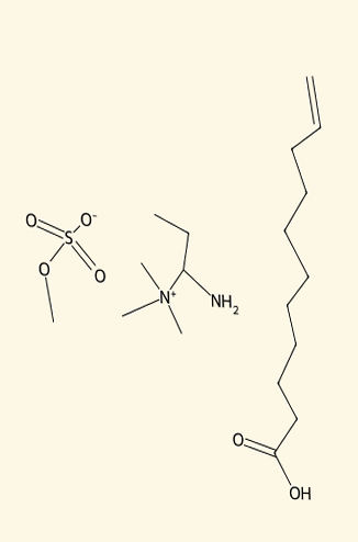 C=CCCCCCCCCC(=O)O.CCC(N)[N+](C)(C)C.COS(=O)(=O)[O-]